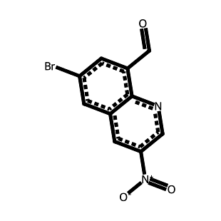 O=Cc1cc(Br)cc2cc([N+](=O)[O-])cnc12